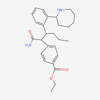 CCCC(c1ccccc1C1CCCCCN1)C(C(N)=O)c1ccc(C(=O)OCC)cc1